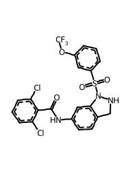 O=C(Nc1ccc2c(c1)N(S(=O)(=O)c1cccc(OC(F)(F)F)c1)NC2)c1c(Cl)cccc1Cl